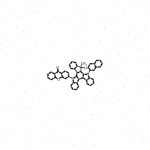 CC1(C)c2ccccc2-c2c1c1c(c3ccccc3n1-c1ccc3ccccc3c1)c1c3ccccc3n(-c3ccc4c(=O)c5ccccc5oc4c3)c21